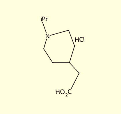 CC(C)N1CCC(CC(=O)O)CC1.Cl